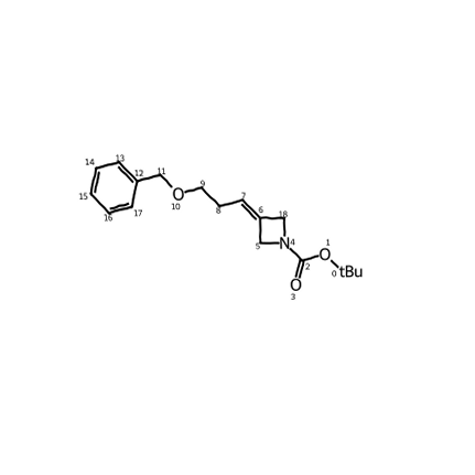 CC(C)(C)OC(=O)N1CC(=CCCOCc2ccccc2)C1